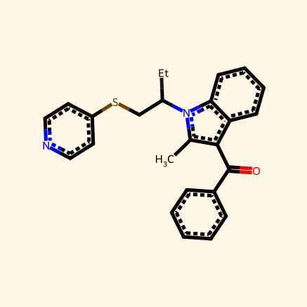 CCC(CSc1ccncc1)n1c(C)c(C(=O)c2ccccc2)c2ccccc21